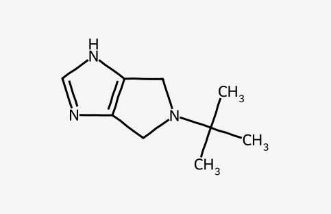 CC(C)(C)N1Cc2nc[nH]c2C1